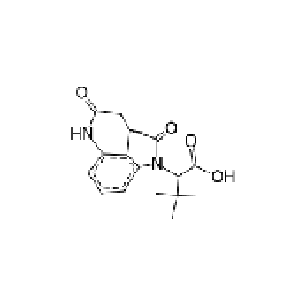 CC12CC(=O)Nc3cccc(c31)N(C(C(=O)O)C(C)(C)C)C2=O